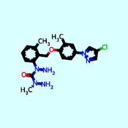 Cc1cc(-n2cc(Cl)cn2)ccc1OCc1c(C)cccc1N(N)C(=O)N(C)N